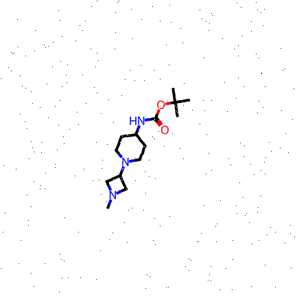 CN1CC(N2CCC(NC(=O)OC(C)(C)C)CC2)C1